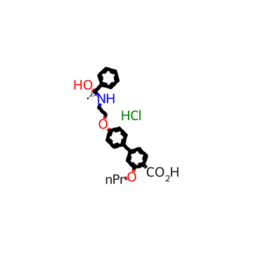 CCCOc1cc(-c2ccc(OCCN[C@@](C)(O)c3ccccc3)cc2)ccc1C(=O)O.Cl